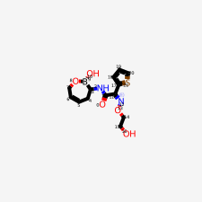 O=C(NC1CC=CCOB1O)/C(=N\OCCO)c1cccs1